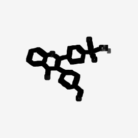 CS(=O)(=O)c1ccc(-c2oc3ccccc3c(=O)c2-c2ccc(C=O)cc2)cc1